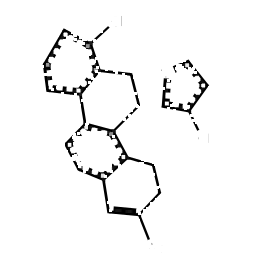 CC(=O)C1=Cc2ccc3c(c2CC1)CCc1c(Cl)cccc1-3.Cc1ccoc1